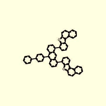 c1ccc(-c2ccc(-c3c4cccc(-c5cccc6c5oc5ccc7ccccc7c56)c4cc4c(-c5cccc6c5oc5ccc7ccccc7c56)cccc34)cc2)cc1